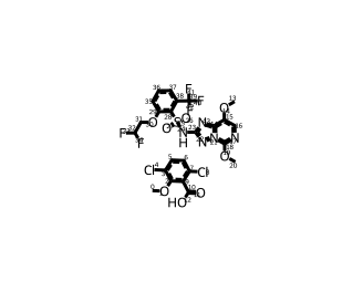 COc1c(Cl)ccc(Cl)c1C(=O)O.COc1cnc(OC)n2nc(NS(=O)(=O)c3c(OCC(F)F)cccc3C(F)(F)F)nc12